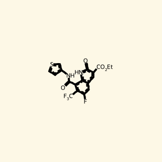 CCOC(=O)c1cc2cc(F)c(C(F)(F)F)c(C(=O)Nc3ccsc3)c2[nH]c1=O